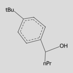 CCCC(O)c1ccc(C(C)(C)C)cc1